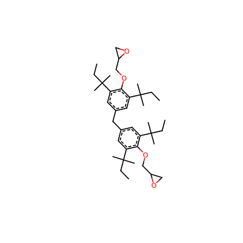 CCC(C)(C)c1cc(Cc2cc(C(C)(C)CC)c(OCC3CO3)c(C(C)(C)CC)c2)cc(C(C)(C)CC)c1OCC1CO1